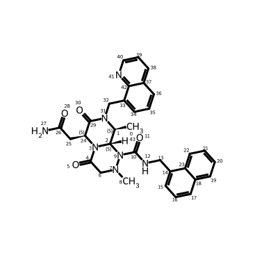 C[C@H]1[C@H]2N(C(=O)CN(C)N2C(=O)NCc2cccc3ccccc23)[C@@H](CC(N)=O)C(=O)N1Cc1cccc2cccnc12